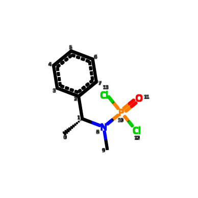 C[C@H](c1ccccc1)N(C)P(=O)(Cl)Cl